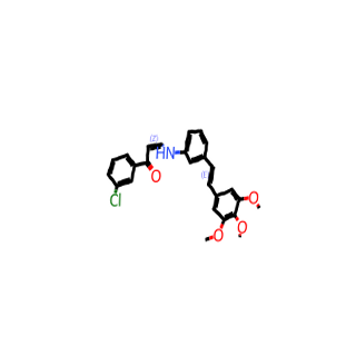 COc1cc(/C=C/c2cccc(N/C=C\C(=O)c3cccc(Cl)c3)c2)cc(OC)c1OC